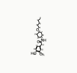 CCCCCO[C@H]1CC[C@H](NC(=O)Cc2ccc(O)c(OC)c2)CC1